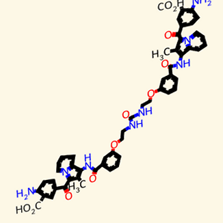 Cc1c(NC(=O)c2cccc(OCCNC(=O)NCCOc3cccc(C(=O)Nc4c(C)c(C(=O)c5ccc(N)c(C(=O)O)c5)n5ccccc45)c3)c2)c2ccccn2c1C(=O)c1ccc(N)c(C(=O)O)c1